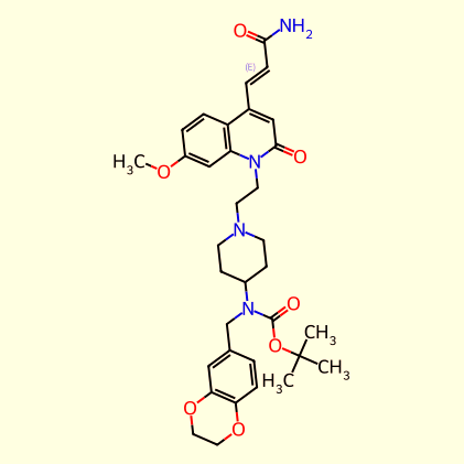 COc1ccc2c(/C=C/C(N)=O)cc(=O)n(CCN3CCC(N(Cc4ccc5c(c4)OCCO5)C(=O)OC(C)(C)C)CC3)c2c1